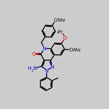 COc1ccc(Cn2c(=O)c3c(N)n(-c4ccccc4C)nc3c3cc(OC)c(OC(C)C)cc32)cc1